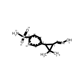 CC1(C)C(/C=N/O)C1c1ccc(S(N)(=O)=O)nc1